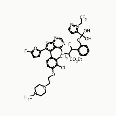 CCOC(=O)C(Oc1ncnc2sc(-c3ccc(F)o3)c(-c3ccc(OCCN4CCN(C)CC4)c(Cl)c3C)c12)C(F)c1ccccc1OC(O)(O)c1ccnn1CC(F)(F)F